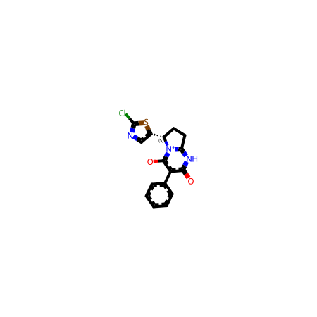 O=c1[nH]c2[n+](c([O-])c1-c1ccccc1)[C@H](c1cnc(Cl)s1)CC2